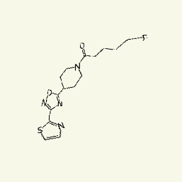 O=C(CCCCF)N1CCC(c2nc(-c3nccs3)no2)CC1